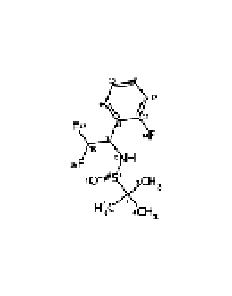 CC(C)(C)[S@@+]([O-])NC(c1ccccc1F)C(F)F